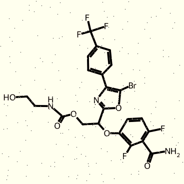 NC(=O)c1c(F)ccc(OC(COC(=O)NCCO)c2nc(-c3ccc(C(F)(F)F)cc3)c(Br)o2)c1F